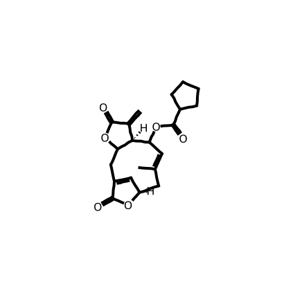 C=C1C(=O)OC2CC3=C[C@@H](C/C(C)=C/C(OC(=O)C4CCCC4)[C@H]12)OC3=O